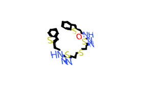 O=C(Cc1cc2ccccc2s1)Nc1nnc(CCSCCc2nnc(NCCc3cc4ccccc4s3)s2)s1